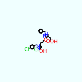 O=C(O)Cc1cn(Cc2ccccc2)nc1OCCCc1cc(O)nn1Cc1ccc(Cl)cc1Cl